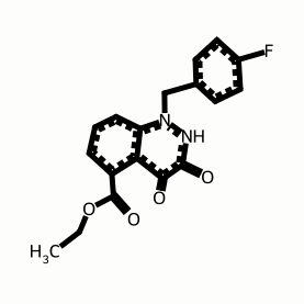 CCOC(=O)c1cccc2c1c(=O)c(=O)[nH]n2Cc1ccc(F)cc1